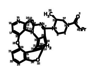 CCCC(=O)N1CCN(c2nc(=O)n3c4c(C(C)C)nccc4oc4cccc5c4c4c(cc2c3c4P)OC5)[C@@H](C)C1